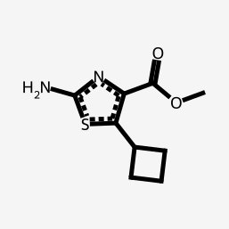 COC(=O)c1nc(N)sc1C1CCC1